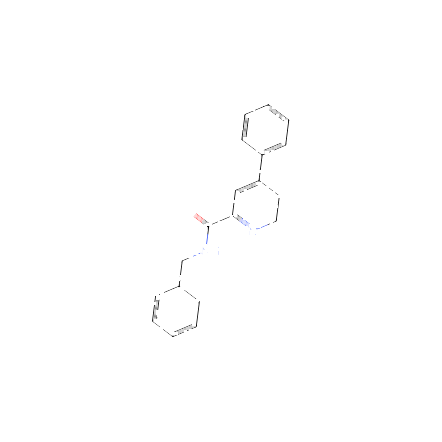 O=C(NCC1C=CC=CC1)C1=NCCC(c2ccccc2)=C1